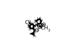 CS(=O)(=O)c1cccnc1Nc1cc(Cl)ncc1C(=O)C1CC1